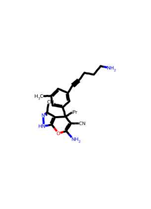 Cc1cc(C#CCCCN)cc(C2(C(C)C)C(C#N)=C(N)Oc3[nH]nc(C)c32)c1